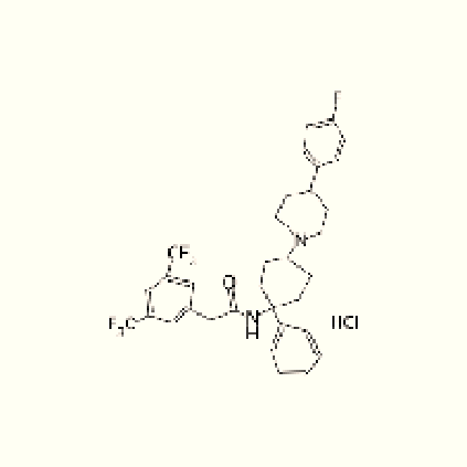 Cl.O=C(Cc1cc(C(F)(F)F)cc(C(F)(F)F)c1)NC1(c2ccccc2)CCC(N2CCC(c3ccc(F)cc3)CC2)CC1